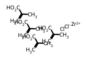 C=C(C)C(=O)O.C=C(C)C(=O)O.C=C(C)C(=O)O.C=C(C)C(=O)O.[Cl-].[Cl-].[Zr+2]